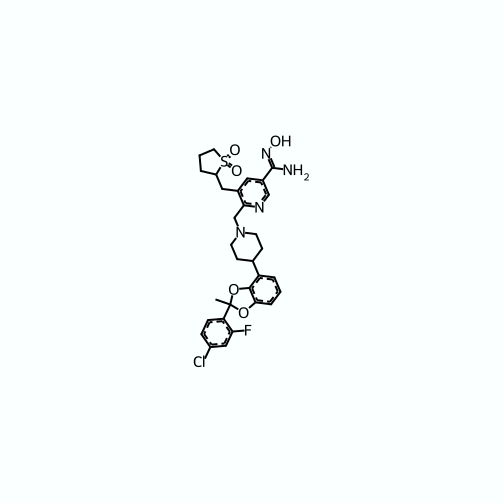 CC1(c2ccc(Cl)cc2F)Oc2cccc(C3CCN(Cc4ncc(C(N)=NO)cc4CC4CCCS4(=O)=O)CC3)c2O1